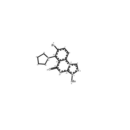 CCCCn1ncn2c3ccc(Br)c(N4CCCC4)c3c(=O)nc12